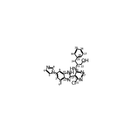 Cc1cc(-n2ccnc2)cc2[nH]c(-c3c(Cl)ncnc3N[C@H](CO)Cc3ccccc3)nc12